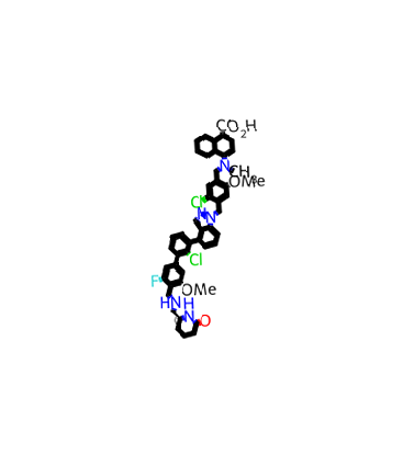 COc1cc(Cn2ncc3c(-c4cccc(-c5cc(F)c(CNC[C@@H]6CCCC(=O)N6)c(OC)c5)c4Cl)cccc32)c(Cl)cc1CN(C)C1CCC(C(=O)O)C2CCCCC21